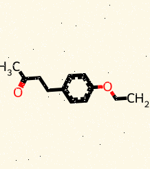 [CH2]COc1ccc(CCC(C)=O)cc1